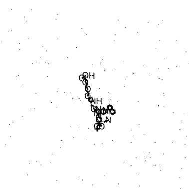 CC(C)(C)OC(=O)N1CCN(c2nc(OCC[C@H]3C[C@@H](OCCOCCOCC(=O)O)CN3)nc3c2CCN(c2cccc4ccccc24)C3)C[C@@H]1CC#N